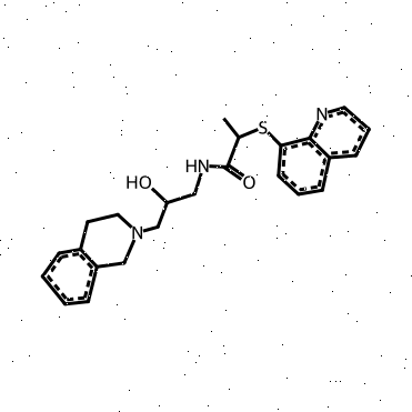 CC(Sc1cccc2cccnc12)C(=O)NCC(O)CN1CCc2ccccc2C1